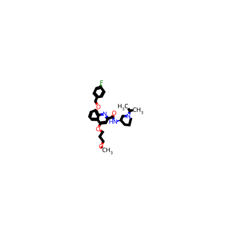 COCCCOc1cc(C(=O)N[C@@H]2CCCN(C(C)C)C2)nc2c(OCc3ccc(F)cc3)cccc12